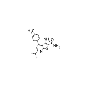 Cc1ccc(-c2cc(C(F)F)nc3sc(C(N)=O)c(N)c23)cc1